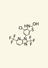 OC1Nc2c(Cl)cc(-n3c(C(F)(F)F)nc4ccc(C(F)(F)F)nc43)cc2S1